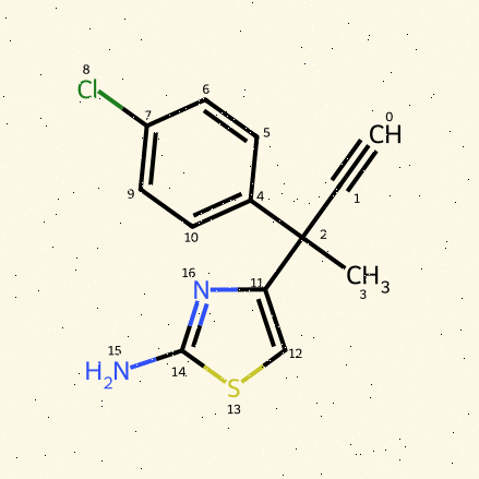 C#CC(C)(c1ccc(Cl)cc1)c1csc(N)n1